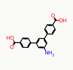 Nc1cc(-c2ccc(C(=O)O)cc2)cc(-c2ccc(C(=O)O)cc2)c1